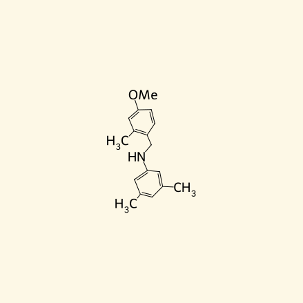 COc1ccc(CNc2cc(C)cc(C)c2)c(C)c1